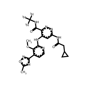 [2H]C([2H])([2H])NC(=O)c1nnc(NC(=O)CC2CC2)cc1Nc1nccc(-c2noc(C)n2)c1OC